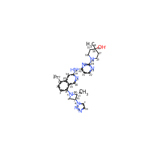 CC(C)c1ccc(N2C[C@H](n3ccnn3)[C@H]2C)c2cnc(Nc3ccnc(N4CCC(C)(O)CC4)n3)cc12